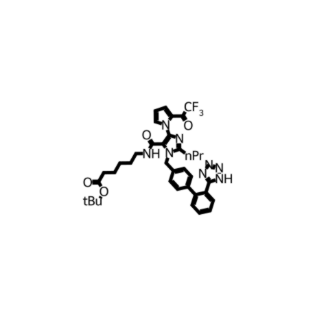 CCCc1nc(-n2cccc2C(=O)C(F)(F)F)c(C(=O)NCCCCCC(=O)OC(C)(C)C)n1Cc1ccc(-c2ccccc2-c2nnn[nH]2)cc1